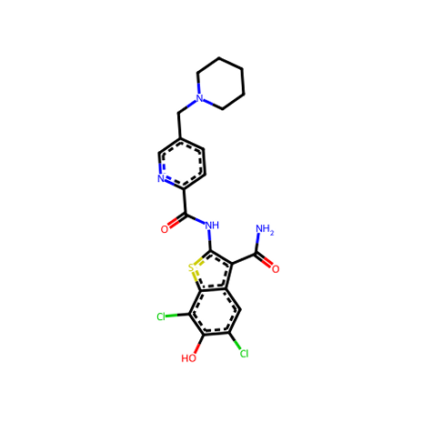 NC(=O)c1c(NC(=O)c2ccc(CN3CCCCC3)cn2)sc2c(Cl)c(O)c(Cl)cc12